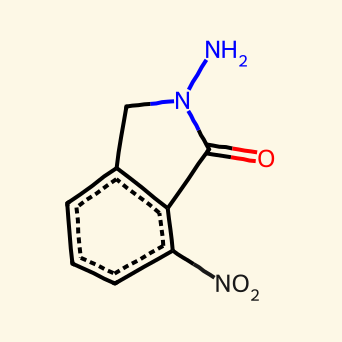 NN1Cc2cccc([N+](=O)[O-])c2C1=O